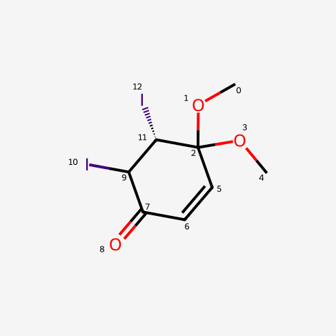 COC1(OC)C=CC(=O)C(I)[C@@H]1I